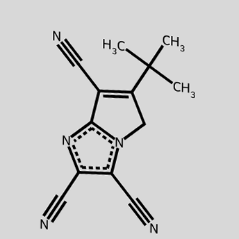 CC(C)(C)C1=C(C#N)c2nc(C#N)c(C#N)n2C1